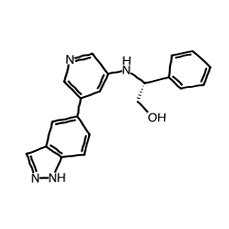 OC[C@H](Nc1cncc(-c2ccc3[nH]ncc3c2)c1)c1ccccc1